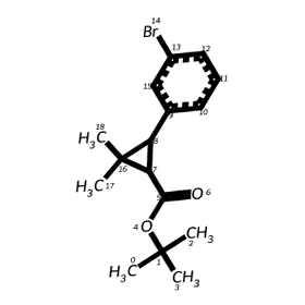 CC(C)(C)OC(=O)C1C(c2cccc(Br)c2)C1(C)C